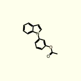 CC(=O)Oc1cccc(-n2c[c]c3ccccc32)c1